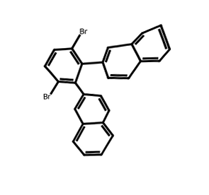 Brc1ccc(Br)c(-c2ccc3ccccc3c2)c1-c1ccc2ccccc2c1